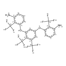 Nc1cccc(Oc2cc(Oc3cccc(N)c3C(F)(F)F)c(C(F)(F)F)c(C(F)(F)F)c2)c1C(F)(F)F